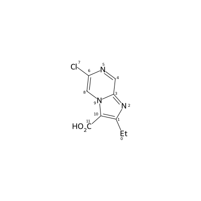 CCc1nc2cnc(Cl)cn2c1C(=O)O